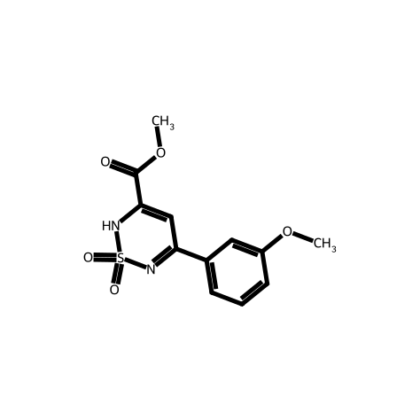 COC(=O)C1=CC(c2cccc(OC)c2)=NS(=O)(=O)N1